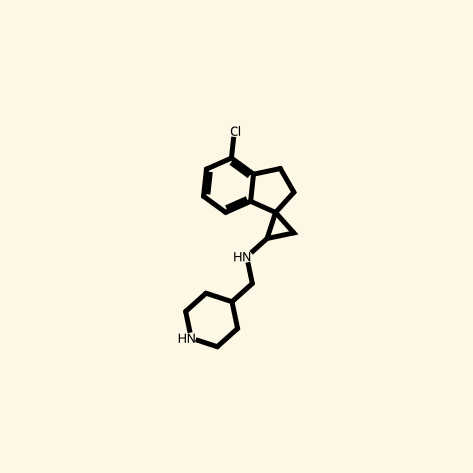 Clc1cccc2c1CCC21CC1NCC1CCNCC1